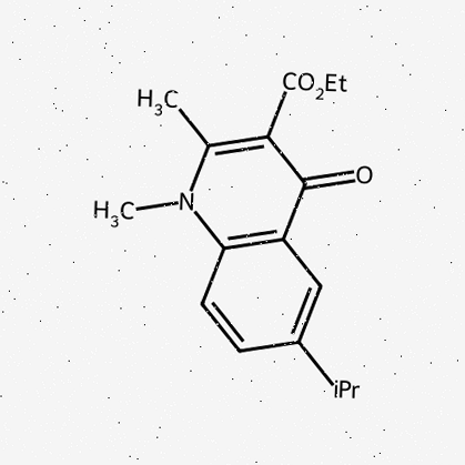 CCOC(=O)c1c(C)n(C)c2ccc(C(C)C)cc2c1=O